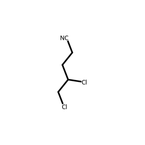 N#CCCC(Cl)CCl